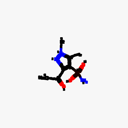 CCn1nc(C(=O)OC)c(S(N)(=O)=O)c1C